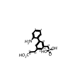 Nc1ccccc1-c1cc(CCC(=O)O)cc(CP(=O)(O)O)c1